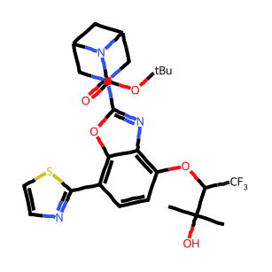 CC(C)(C)OC(=O)N1C2CC1CN(c1nc3c(OC(C(C)(C)O)C(F)(F)F)ccc(-c4nccs4)c3o1)C2